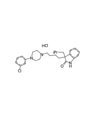 CC(C)CC1(CCCCN2CCN(c3cccc(Cl)c3)CC2)C(=O)Nc2ccccc21.Cl